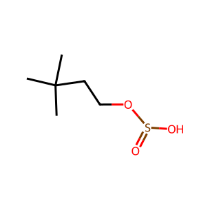 CC(C)(C)CCOS(=O)O